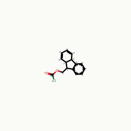 O=C(Cl)OCC1c2ccccc2C2C=CC=CC21